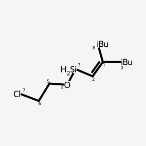 CCC(C)C(=C[SiH2]OCCCl)C(C)CC